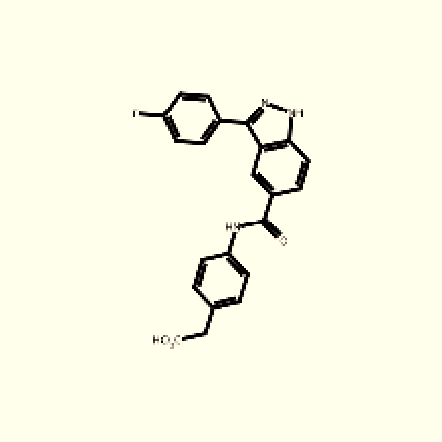 O=C(O)Cc1ccc(NC(=O)c2ccc3[nH]nc(-c4ccc(F)cc4)c3c2)cc1